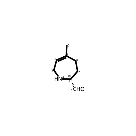 CC1=CCN[C@@H](C=O)CC1